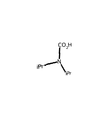 CC(C)N(C(=O)O)C(C)C